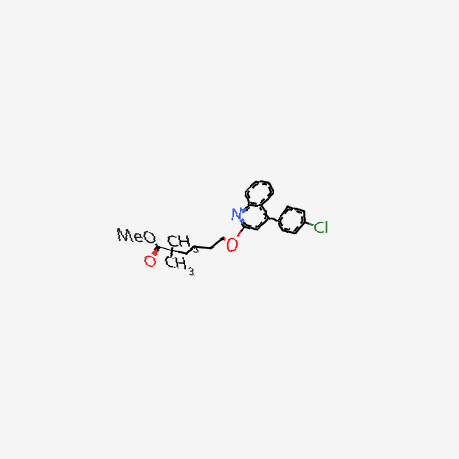 COC(=O)C(C)(C)CCCCOc1cc(-c2ccc(Cl)cc2)c2ccccc2n1